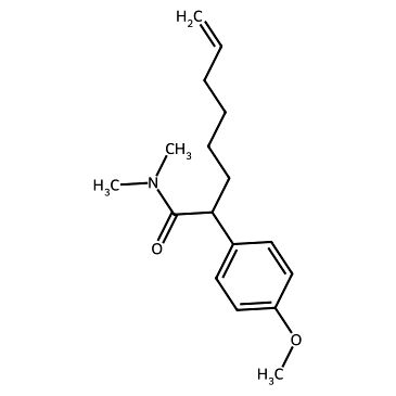 C=CCCCCC(C(=O)N(C)C)c1ccc(OC)cc1